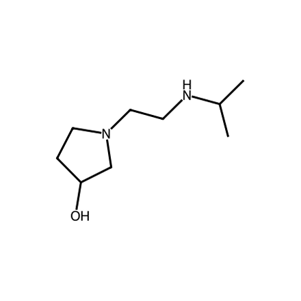 CC(C)NCCN1CCC(O)C1